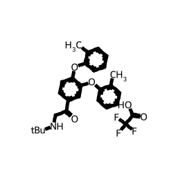 Cc1ccccc1Oc1ccc(C(=O)CNC(C)(C)C)cc1Oc1ccccc1C.O=C(O)C(F)(F)F